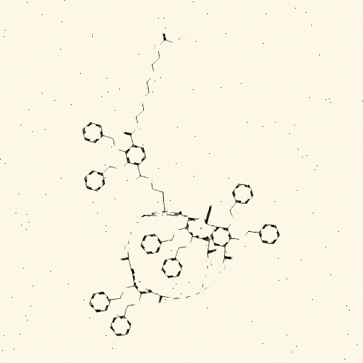 CC(C)(C)OC(=O)NCCOCCOCCNC(=O)c1ccc(C(O)NCCN2CCNC(=O)c3ccc(c(OCc4ccccc4)c3OCc3ccccc3)C(=O)NCCN3CCNC(=O)c4ccc(c(OCc5ccccc5)c4OCc4ccccc4)C(=O)NCCN(CCNC(=O)c4ccc(c(OCc5ccccc5)c4OCc4ccccc4)C(=O)NCC3)CC2)c(OCc2ccccc2)c1OCc1ccccc1